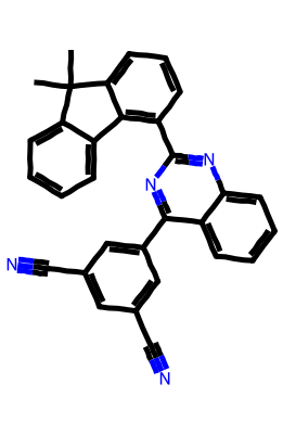 CC1(C)c2ccccc2-c2c(-c3nc(-c4cc(C#N)cc(C#N)c4)c4ccccc4n3)cccc21